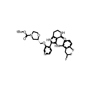 CC(C)(C)OC(=O)N1CCO[C@H](COc2cnccc2-c2[nH]c3c(c2Nc2cccc(F)c2CC(F)F)C(=O)NCC3)C1